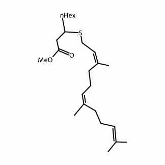 CCCCCCC(CC(=O)OC)SCC=C(C)CCC=C(C)CCC=C(C)C